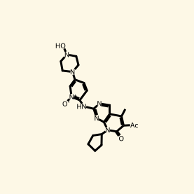 CC(=O)c1c(C)c2cnc(Nc3ccc(N4CCN(O)CC4)c[n+]3[O-])nc2n(C2CCCC2)c1=O